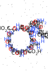 CCC(C)C1NC(=O)C(CCC(=O)O)NC(=O)C(C)NC(=O)CNC(=O)C(CC(=O)O)NC(=O)C(C)NC(=O)C(CC(=O)O)NC(=O)C(CCCN)NC(=O)CNC(=O)C(NC(=O)C(CC(=O)O)NC(=O)C(CC(N)=O)NC(=O)C(Cc2c[nH]c3ccccc23)NC=O)C(C)OC1=O